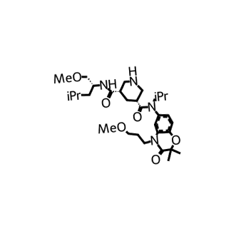 COCCCN1C(=O)C(C)(C)Oc2ccc(N(C(=O)[C@H]3CNC[C@@H](C(=O)N[C@@H](COC)CC(C)C)C3)C(C)C)cc21